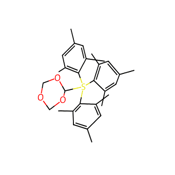 Cc1cc(C)c(S(c2c(C)cc(C)cc2C)(c2c(C)cc(C)cc2C)C2OCOCO2)c(C)c1